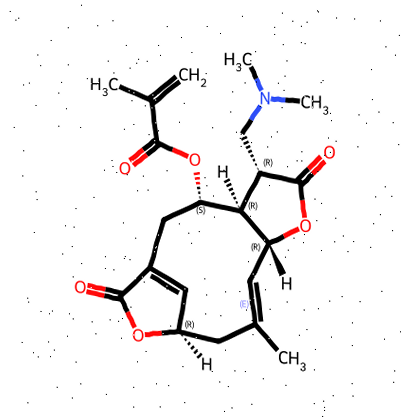 C=C(C)C(=O)O[C@H]1CC2=C[C@@H](C/C(C)=C/[C@H]3OC(=O)[C@@H](CN(C)C)[C@H]13)OC2=O